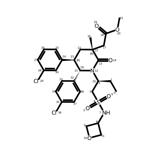 CC[C@@H](CS(=O)(=O)NC1COC1)N1C(=O)[C@@](C)(CC(=O)OC)C[C@H](c2cccc(Cl)c2)[C@H]1c1ccc(Cl)cc1